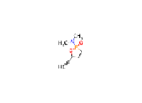 C#CC1CCP(=O)(N(C)C)O1